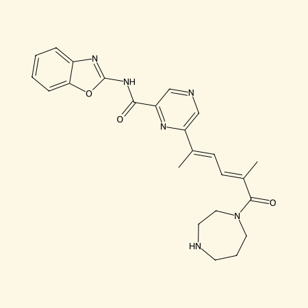 C/C(=C\C=C(/C)c1cncc(C(=O)Nc2nc3ccccc3o2)n1)C(=O)N1CCCNCC1